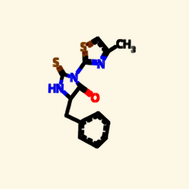 Cc1csc(N2C(=O)C(Cc3ccccc3)NC2=S)n1